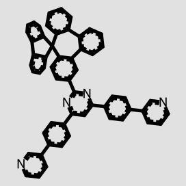 c1cncc(-c2ccc(-c3cc(-c4ccc(-c5cccnc5)cc4)nc(-c4ccc5c(c4)-c4ccccc4-c4ccccc4C54c5ccccc5-c5ccccc54)n3)cc2)c1